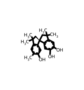 Cc1cc2c(cc1O)[C@]1(CC2(C)C)CC(C)(C)c2cc(O)c(O)cc21